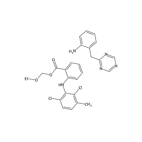 CCOCOC(=O)c1ccccc1Nc1c(Cl)ccc(C)c1Cl.Nc1ccccc1Cc1ncncn1